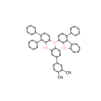 N#Cc1ccc(-c2ccc3c(c2)Bc2c(ccc(-c4ccccc4)c2-c2ccccc2)B3c2ccc(-c3ccccc3)c3c2Bc2ccccc2-3)cc1C#N